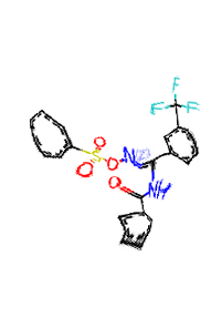 O=C(N/C(=N\OS(=O)(=O)c1ccccc1)c1cccc(C(F)(F)F)c1)c1ccccc1